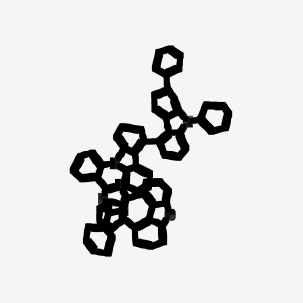 c1ccc(-c2ccc3c4c(-c5cccc6c5c5ccccc5n6-c5ccccc5-c5nc(-c6ccccc6)nc(-c6cccc7oc8cccc(-c9ccccc9)c8c67)n5)cccc4n(-c4ccccc4)c3c2)cc1